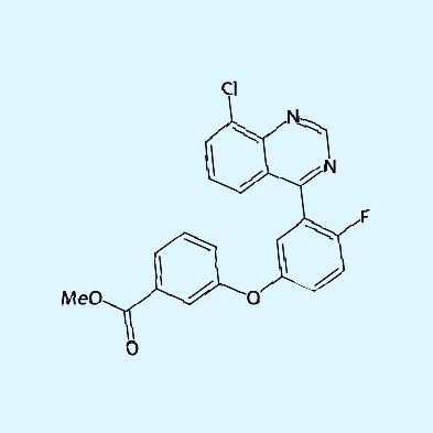 COC(=O)c1cccc(Oc2ccc(F)c(-c3ncnc4c(Cl)cccc34)c2)c1